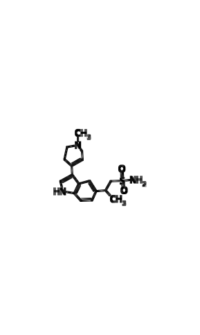 CC(CS(N)(=O)=O)c1ccc2[nH]cc(C3=CCN(C)CC3)c2c1